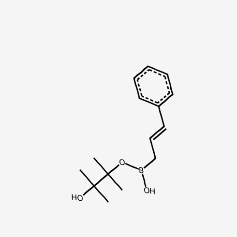 CC(C)(O)C(C)(C)OB(O)CC=Cc1ccccc1